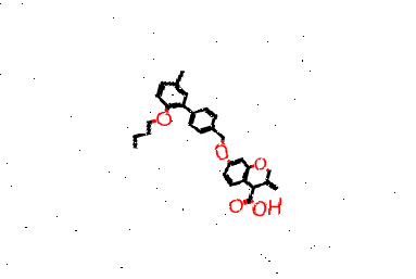 C=C1COc2cc(OCc3ccc(-c4cc(C)ccc4OCCCC)cc3)ccc2C1C(=O)O